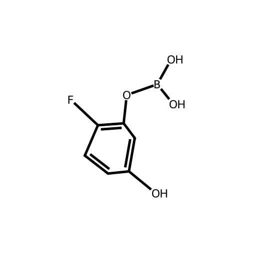 OB(O)Oc1cc(O)ccc1F